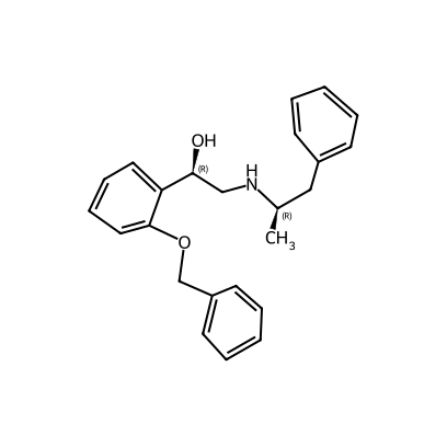 C[C@H](Cc1ccccc1)NC[C@H](O)c1ccccc1OCc1ccccc1